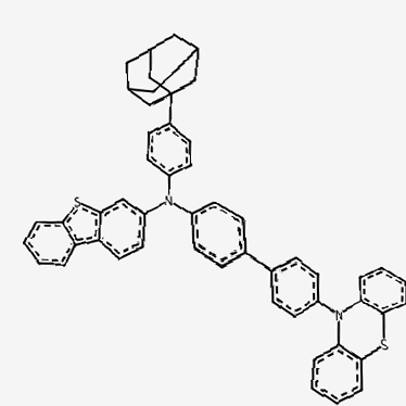 c1ccc2c(c1)Sc1ccccc1N2c1ccc(-c2ccc(N(c3ccc(C45CC6CC(CC(C6)C4)C5)cc3)c3ccc4c(c3)sc3ccccc34)cc2)cc1